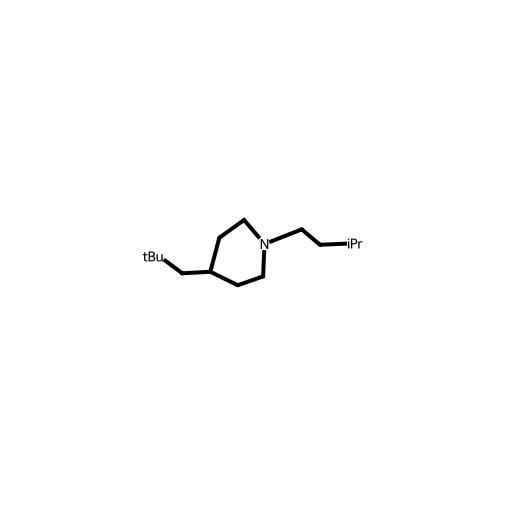 CC(C)CCN1CCC(CC(C)(C)C)CC1